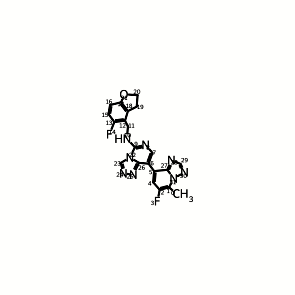 Cc1c(F)cc(-c2cnc(NCc3c(F)ccc4c3CCO4)n3cnnc23)c2ncnn12